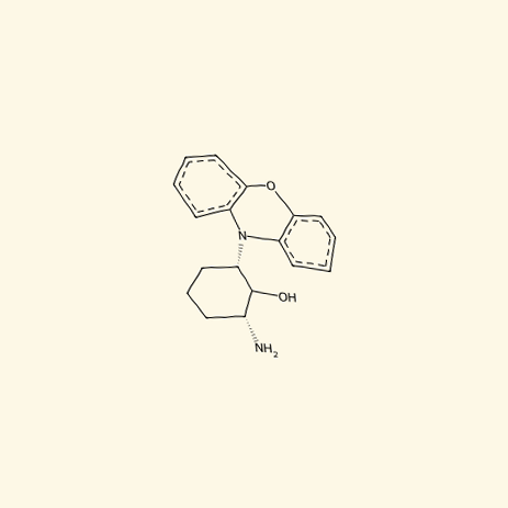 N[C@@H]1CCC[C@H](N2c3ccccc3Oc3ccccc32)C1O